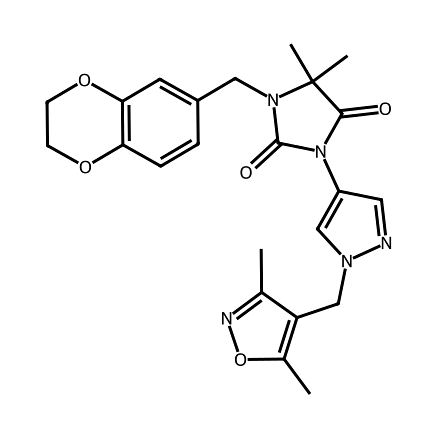 Cc1noc(C)c1Cn1cc(N2C(=O)N(Cc3ccc4c(c3)OCCO4)C(C)(C)C2=O)cn1